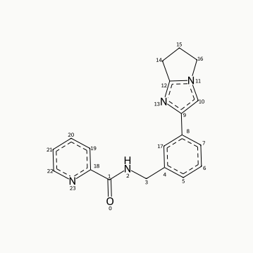 O=C(NCc1cccc(-c2cn3c(n2)CCC3)c1)c1ccccn1